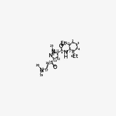 CCc1cccc(CC)c1NC(=O)c1cc(C(=O)/C=C/N(C)C)nn1C